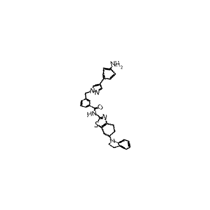 Nc1ccc(-c2cnn(Cc3cccc(C(=O)Nc4nc5c(s4)CC(N4CCc6ccccc64)CC5)c3)c2)cc1